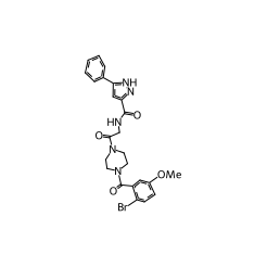 COc1ccc(Br)c(C(=O)N2CCN(C(=O)CNC(=O)c3cc(-c4ccccc4)[nH]n3)CC2)c1